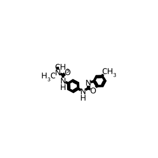 Cc1ccc2oc(Nc3ccc(NC(=O)N(C)C)cc3)nc2c1